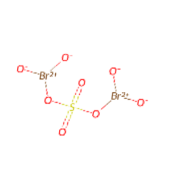 O=S(=O)(O[Br+2]([O-])[O-])O[Br+2]([O-])[O-]